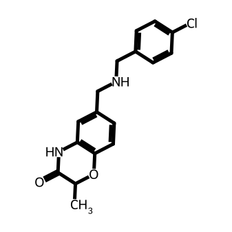 CC1Oc2ccc(CNCc3ccc(Cl)cc3)cc2NC1=O